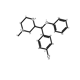 CN1CCOC(C(Oc2ccccc2)c2ccc(Cl)cc2)C1